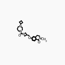 CN1CCc2cc(OCC3CN(C(=O)N4CCCN(C5CCC5)CC4)C3)ccc2C1=O